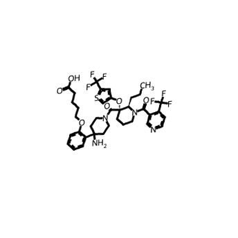 CCC[C@H]1N(C(=O)c2cnccc2C(F)(F)F)CCC[C@@]1(Oc1csc(C(F)(F)F)c1)C(=O)N1CCC(N)(c2ccccc2OCCCCC(=O)O)CC1